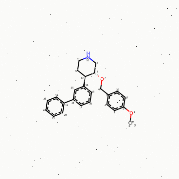 FC(F)(F)Oc1ccc(CO[C@H]2CNCC[C@@H]2c2cccc(-c3ccccc3)c2)cc1